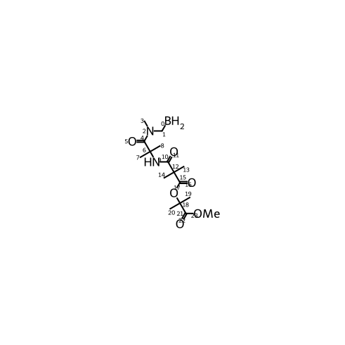 BCN(C)C(=O)C(C)(C)NC(=O)C(C)(C)C(=O)OC(C)(C)C(=O)OC